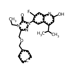 CCn1c(COCc2ccccc2)nn(-c2cc3c(C(C)C)cc(O)nc3cc2F)c1=O